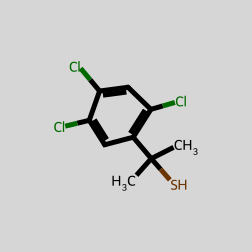 CC(C)(S)c1cc(Cl)c(Cl)cc1Cl